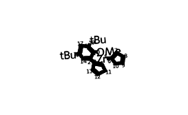 COc1c(C2=[C]([Zr][C]3=CC=CC3)CC=C2)cc(C(C)(C)C)cc1C(C)(C)C